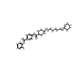 Cc1ccccc1OC(=O)c1ccc(OC(=O)C2CCC(OCCCCCCOC3CCCCO3)CC2)cc1